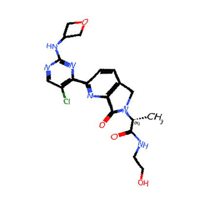 C[C@H](C(=O)NCCO)N1Cc2ccc(-c3nc(NC4COC4)ncc3Cl)nc2C1=O